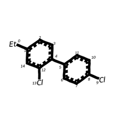 CCc1ccc(-c2ccc(Cl)cc2)c(Cl)c1